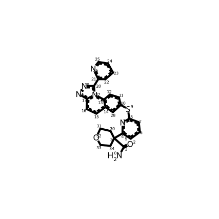 NC(=O)C1(c2cccc(Sc3ccc4c(ccc5nnc(-c6ccccn6)n54)c3)n2)CCOCC1